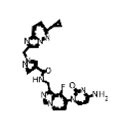 Nc1ccn(-c2ccn3cnc(CNC(=O)c4cnn(Cc5cn6nc(C7CC7)ccc6n5)c4)c3c2F)c(=O)n1